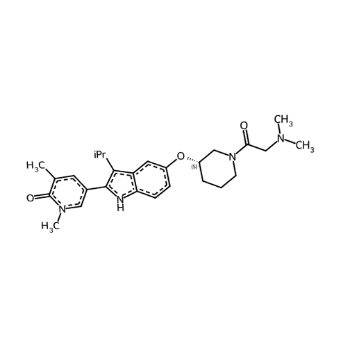 Cc1cc(-c2[nH]c3ccc(O[C@H]4CCCN(C(=O)CN(C)C)C4)cc3c2C(C)C)cn(C)c1=O